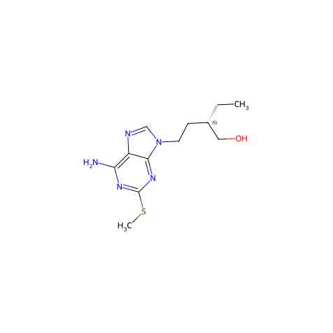 CC[C@H](CO)CCn1cnc2c(N)nc(SC)nc21